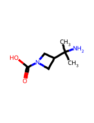 CC(C)(N)C1CN(C(=O)O)C1